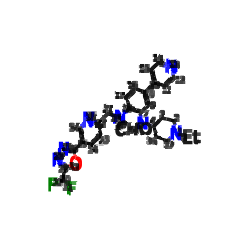 CCN1CCC(N(C)c2cc(-c3ccncc3)ccc2N(C=O)Cc2ccc(-c3nnc(C(F)F)o3)cn2)CC1